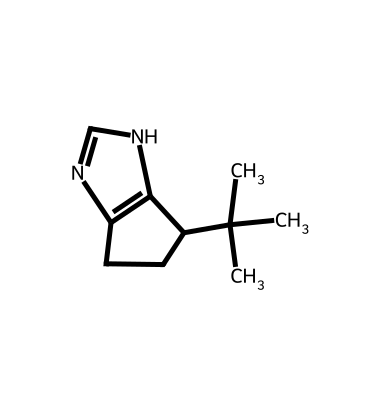 CC(C)(C)C1CCc2nc[nH]c21